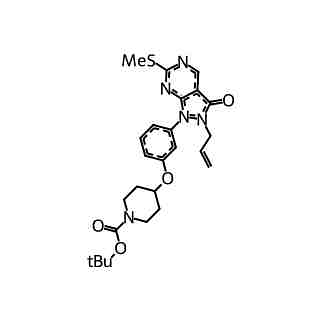 C=CCn1c(=O)c2cnc(SC)nc2n1-c1cccc(OC2CCN(C(=O)OC(C)(C)C)CC2)c1